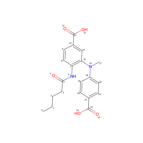 CCCCC(=O)Nc1ccc(C(=O)O)cc1N(C)c1ccc(C(=O)O)cc1